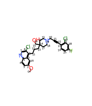 COc1ccc2ncc(Cl)c(CCCC3(CO)CCN(CC#Cc4ccc(F)cc4Cl)CC3)c2c1